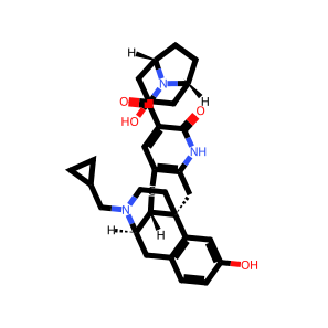 O=C(c1cc2c([nH]c1=O)C[C@]13CCN(CC4CC4)[C@H](Cc4ccc(O)cc41)[C@@H]3C2)N1[C@@H]2CC[C@H]1CC(O)C2